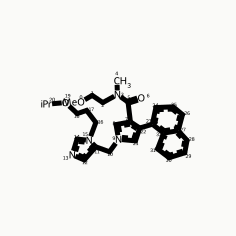 COCCN(C)C(=O)c1cn(Cc2cncn2CCCOC(C)C)cc1-c1cccc2ccccc12